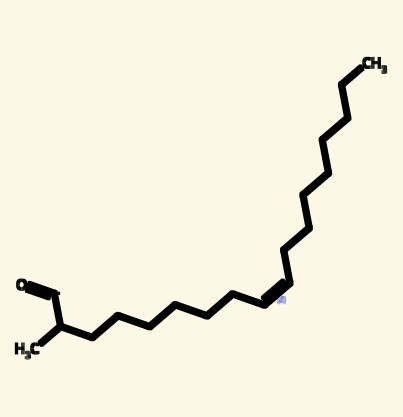 CCCCCCCC/C=C\CCCCCCC(C)[C]=O